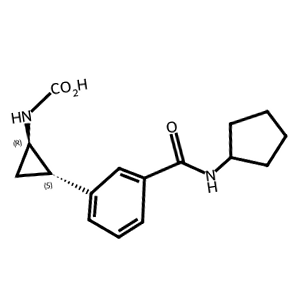 O=C(O)N[C@@H]1C[C@H]1c1cccc(C(=O)NC2CCCC2)c1